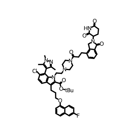 Cc1nn(C)c(C)c1-c1c(Cl)ccc2c(CCCOc3cccc4cc(F)ccc34)c(C(=O)OC(C)(C)C)n(CCN3CCN(C(=O)CCc4cccc5c4CN(C4CCC(=O)NC4=O)C5=O)CC3)c12